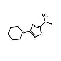 C[C@H](N)c1nc(N2CCCCC2)ns1